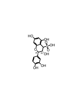 O=S(=O)(O)C1c2c(O)cc(O)cc2O[C@H](c2ccc(O)c(O)c2)[C@H]1O